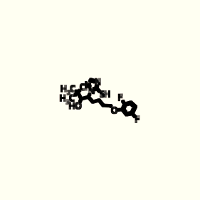 CC(C)(C)C(O)C(CCCCOc1cc(F)ccc1F)n1ncnc1S